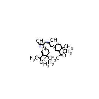 C/C=C(\C=C(\C)CN1C=C(C(=O)C(F)(F)F)C(C)(C)CC1)N1C=C(C(=O)C(F)(F)F)C(C)(C)CC1